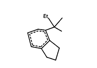 CCC(C)(C)c1cccc2c1CCC2